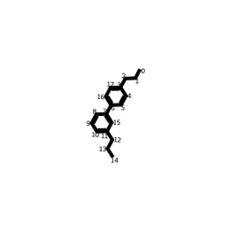 CCCc1ccc(-c2[c]ccc(CCC)c2)cc1